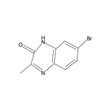 Cc1nc2ccc(Br)cc2[nH]c1=O